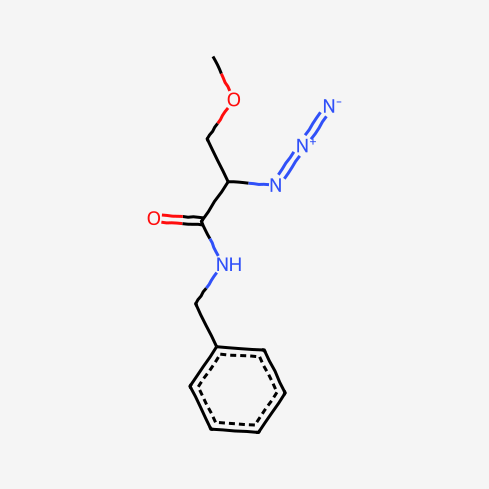 COCC(N=[N+]=[N-])C(=O)NCc1ccccc1